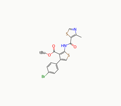 Cc1ncsc1C(=O)Nc1scc(-c2ccc(Br)cc2)c1C(=O)OC(C)(C)C